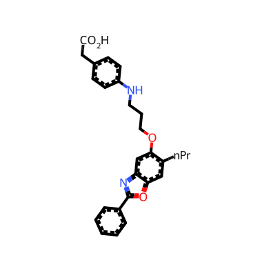 CCCc1cc2oc(-c3ccccc3)nc2cc1OCCCNc1ccc(CC(=O)O)cc1